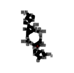 CO[C@H]1[C@H]2OP(=O)(O)OC[C@@]34C[C@@H]3C(n3cnc5c(N)ncnc53)[C@H](O)[C@@H]4O[P@](=O)(S)OC[C@H]1S[C@H]2n1cnc2c(=O)[nH]c(N)nc21